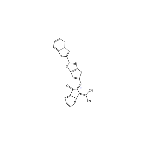 N#CC(C#N)=C1/C(=C/c2cc3oc(-c4cc5ccccc5o4)nc3s2)C(=O)c2ccccc21